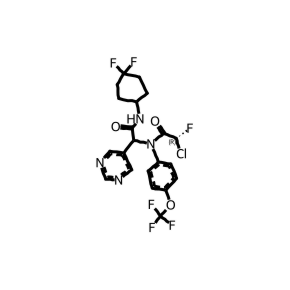 O=C(NC1CCC(F)(F)CC1)C(c1cncnc1)N(C(=O)[C@H](F)Cl)c1ccc(OC(F)(F)F)cc1